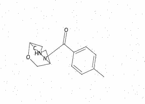 Cc1ccc(C(=O)N2CC3CNCC2CO3)cc1